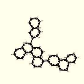 c1ccc2cc(-c3nc4ccccc4c4c3ccc3c(-c5ccc6c(ccc7ccccc76)c5)cccc34)ccc2c1